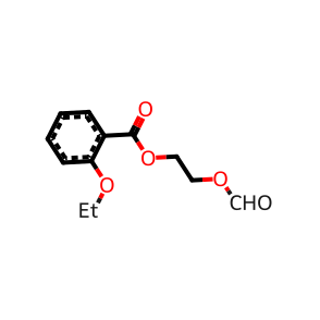 CCOc1ccccc1C(=O)OCCOC=O